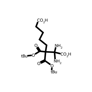 CC(C)(C)OC(=O)C(CCCCC(=O)O)(C(=O)OC(C)(C)C)C(N)(N)C(=O)O